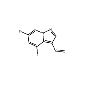 O=Cc1cnn2cc(F)cc(F)c12